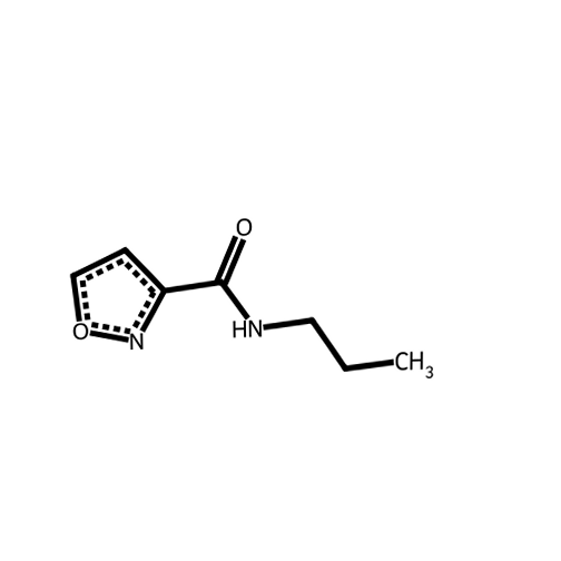 CCCNC(=O)c1ccon1